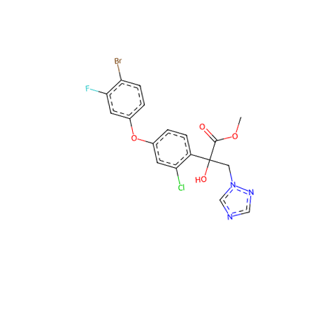 COC(=O)C(O)(Cn1cncn1)c1ccc(Oc2ccc(Br)c(F)c2)cc1Cl